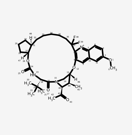 COc1ccc2nc3c(cc2c1)O[C@H]1CN(C(=O)[C@H](C(C)(C)C)NC(=O)O[C@@H]2CCC[C@H]2CCCCCC3(F)F)[C@H](C(C)=O)[C@@H]1C